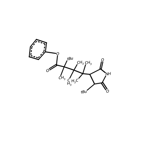 CC(C)(C)C1C(=O)NC(=O)C1C(C)(C)C(C)(C)C(C)(C(=O)Oc1ccccc1)C(C)(C)C